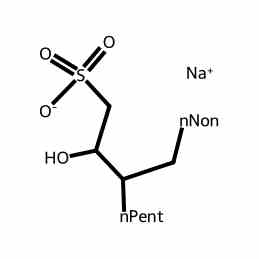 CCC[CH]CC(CCCCCCCCCC)C(O)CS(=O)(=O)[O-].[Na+]